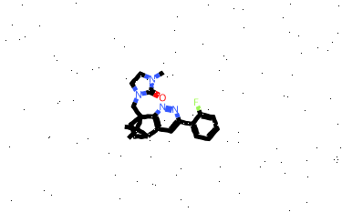 CN1CCN(CC23CCC(c4cc(-c5ccccc5F)nnc42)C3(C)C)C1=O